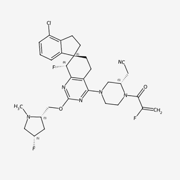 C=C(F)C(=O)N1CCN(c2nc(OC[C@@H]3C[C@H](F)CN3C)nc3c2CC[C@@]2(CCc4c(Cl)cccc42)[C@H]3F)C[C@@H]1CC#N